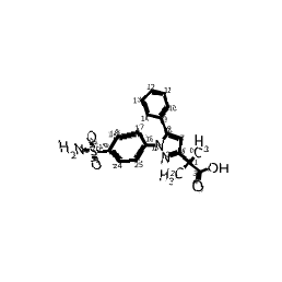 CC(C)(C(=O)O)c1cc(-c2ccccc2)n(-c2ccc(S(N)(=O)=O)cc2)n1